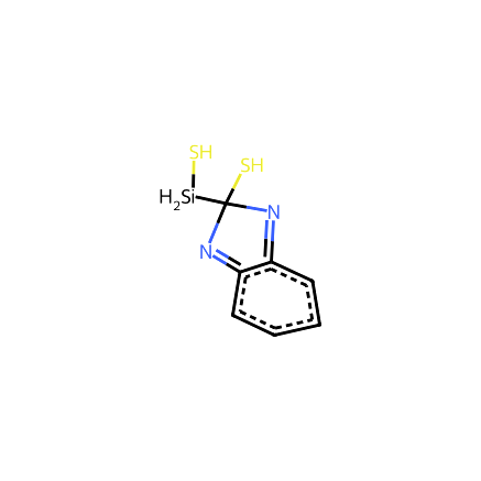 S[SiH2]C1(S)N=c2ccccc2=N1